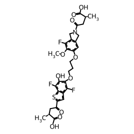 COc1c(OCCCOc2c(O)c(F)c3sc(C(=O)C[C@H](C)C(=O)O)cc3c2F)cc2c(c1F)CN(C(=O)C[C@H](C)C(=O)O)C2